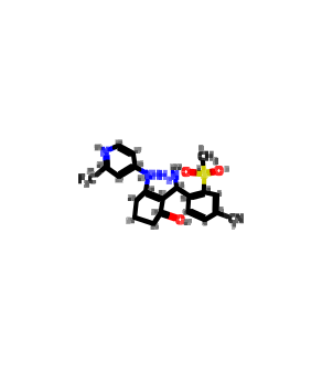 CS(=O)(=O)c1cc(C#N)ccc1C(N)C1=C(Nc2ccnc(C(F)(F)F)c2)CCCC1=O